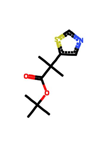 CC(C)(C)OC(=O)C(C)(C)c1cncs1